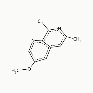 COc1cnc2c(Cl)nc(C)cc2c1